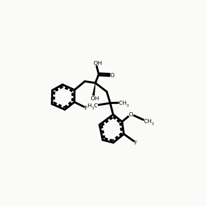 COc1c(F)cccc1C(C)(C)C[C@](O)(Cc1ccccc1F)C(=O)O